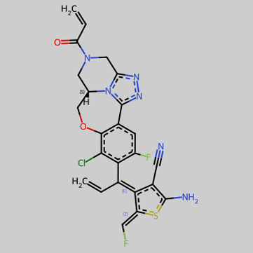 C=CC(=O)N1Cc2nnc3n2[C@H](COc2c-3cc(F)c(/C(C=C)=c3\c(C#N)c(N)s\c3=C/F)c2Cl)C1